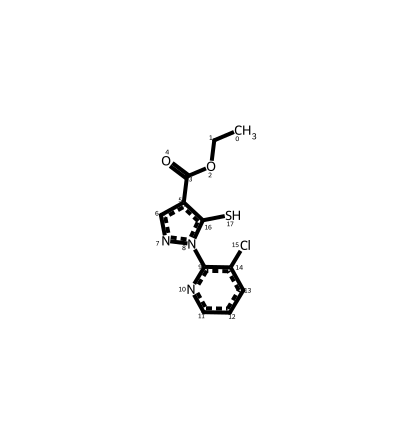 CCOC(=O)c1cnn(-c2ncccc2Cl)c1S